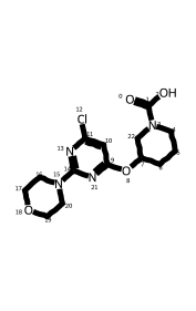 O=C(O)N1CCCC(Oc2cc(Cl)nc(N3CCOCC3)n2)C1